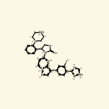 O=C1OCC(c2ccccc2N2CCNCC2)N1c1ccn2ncc(-c3ccc(-c4nc[nH]n4)c(F)c3)c2n1